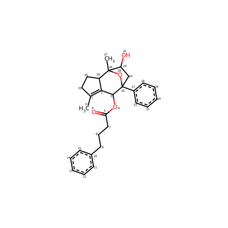 CC1=C2C(OC(=O)CCCc3ccccc3)C3(c4ccccc4)CC(O)C(C)(O3)C2CC1